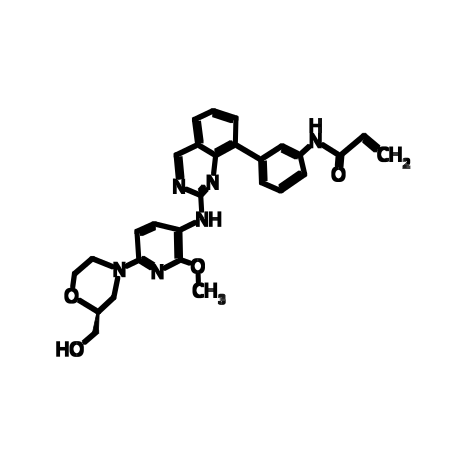 C=CC(=O)Nc1cccc(-c2cccc3cnc(Nc4ccc(N5CCO[C@H](CO)C5)nc4OC)nc23)c1